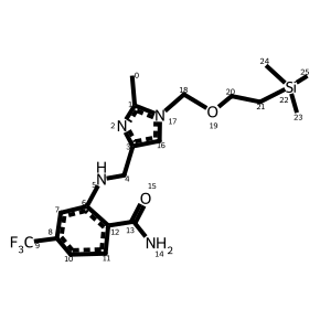 Cc1nc(CNc2cc(C(F)(F)F)ccc2C(N)=O)cn1COCC[Si](C)(C)C